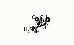 CC(=O)N1CC(=O)C[C@H]1C(=O)NC(CCCNC(=N)N)C(=O)c1nc2ccccc2s1